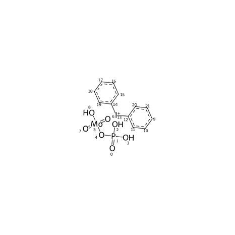 O=P(O)(O)[O][Mo](=[O])(=[O])[OH].c1ccc([I+]c2ccccc2)cc1